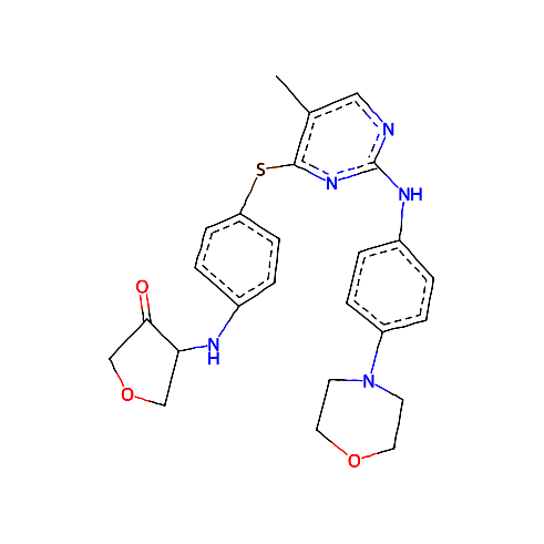 Cc1cnc(Nc2ccc(N3CCOCC3)cc2)nc1Sc1ccc(NC2COCC2=O)cc1